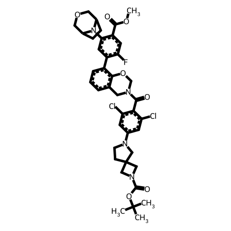 COC(=O)c1cc(F)c(-c2cccc3c2OCN(C(=O)c2c(Cl)cc(N4CCC5(CN(C(=O)OC(C)(C)C)C5)C4)cc2Cl)C3)cc1N1C2CCC1COC2